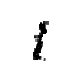 Cn1cnc2ccc(S(=O)(=O)N3CCC4(CC3)C[C@@H](NCC(O)COc3cccc(S(=O)(=O)C5(CO)CC5)c3)CO4)nc21